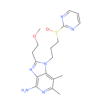 COCCc1nc2c(N)nc(C)c(C)c2n1CCC[S+]([O-])c1ncccn1